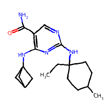 CCC1(Nc2ncc(C(N)=O)c(NC34CC(C3)C4)n2)CCC(C)CC1